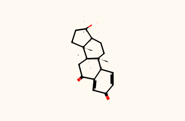 CC(=O)[C@@]1(O)CC[C@H]2[C@@H]3CC(=O)C4=CC(=O)C=C[C@]4(C)[C@H]3CC[C@@]21C